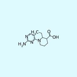 CCC1C(C(=O)O)CCCN1c1ccnc(N)n1